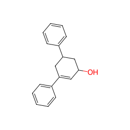 OC1C=C(c2ccccc2)CC(c2ccccc2)C1